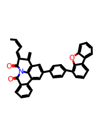 C=c1/c(=C\C=C/C)c(=O)n2c(=O)c3ccccc3c3cc(-c4ccc(-c5cccc6c5oc5ccccc56)cc4)cc1c32